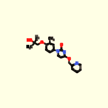 Cc1cc(-n2ccc(OCc3ccccn3)nc2=O)ccc1OCC(C)(C)O